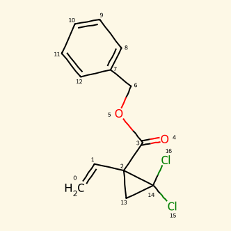 C=CC1(C(=O)OCc2ccccc2)CC1(Cl)Cl